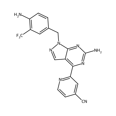 N#Cc1ccnc(-c2nc(N)nc3c2cnn3Cc2ccc(N)c(C(F)(F)F)c2)c1